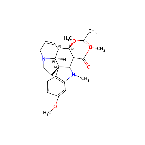 CC[C@]12C=CCN3CC[C@@]4(c5ccc(OC)cc5N(C)C4C(C(=O)OC)[C@@H]1OC(C)=O)[C@@H]32